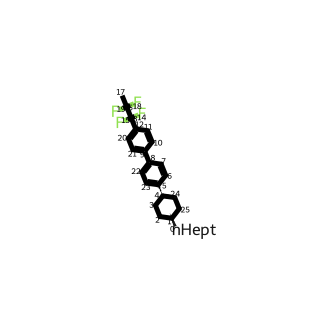 CCCCCCC[C@H]1CC[C@H](c2ccc(-c3ccc(C(F)(F)C(C)(F)F)cc3)cc2)CC1